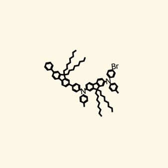 CCCCCCCCC1(CCCCCCCC)c2cc(-c3ccccc3)ccc2-c2ccc(-c3ccc(N(c4ccc(C)cc4)c4ccc5c(c4)C(CCCCCCCC)(CCCCCCCC)c4cc(N(c6ccc(C)cc6)c6ccc(Br)cc6)ccc4-5)cc3)cc21